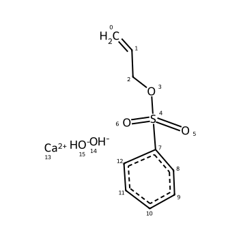 C=CCOS(=O)(=O)c1ccccc1.[Ca+2].[OH-].[OH-]